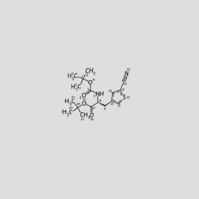 CC(C)(C)OC(=O)N[C@@H](Cc1csc(C#N)c1)C(=O)OC(C)(C)C